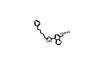 [CH2]CCNCc1ccc(-c2noc(CCCCCc3ccccc3)n2)c2cccnc12